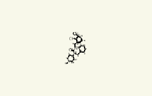 CN1CCC(N(CC2CCCCC2)C(=O)NCc2cccc(Cl)c2Cl)CC1